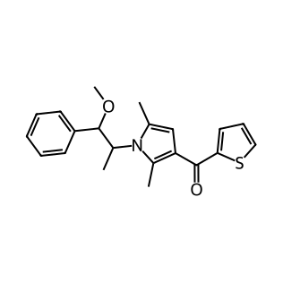 COC(c1ccccc1)C(C)n1c(C)cc(C(=O)c2cccs2)c1C